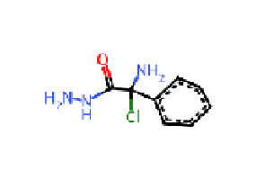 NNC(=O)C(N)(Cl)c1ccccc1